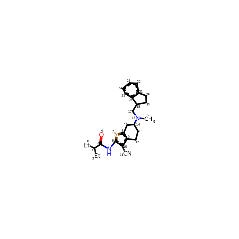 CCC(CC)C(=O)Nc1sc2c(c1C#N)CCC(N(C)CC1CCc3ccccc31)C2